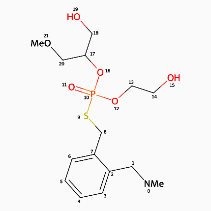 CNCc1ccccc1CSP(=O)(OCCO)OC(CO)COC